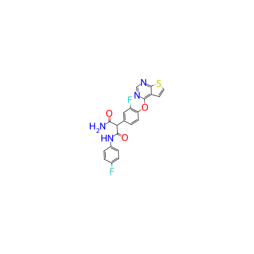 NC(=O)C(C(=O)Nc1ccc(F)cc1)c1ccc(Oc2ncnc3sccc23)c(F)c1